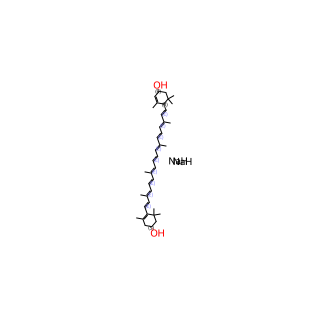 CC1=C[C@H](O)CC(C)(C)[C@H]1/C=C/C(C)=C/C=C/C(C)=C/C=C/C=C(C)/C=C/C=C(C)/C=C/C1=C(C)C[C@@H](O)CC1(C)C.[NaH].[NaH]